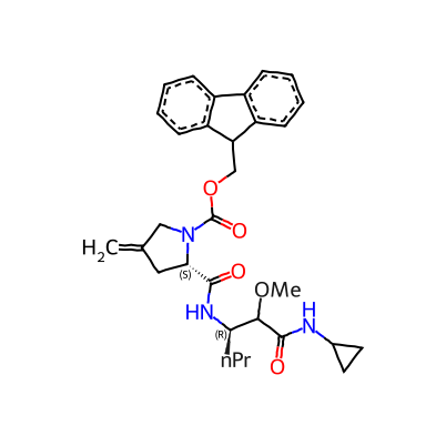 C=C1C[C@@H](C(=O)N[C@H](CCC)C(OC)C(=O)NC2CC2)N(C(=O)OCC2c3ccccc3-c3ccccc32)C1